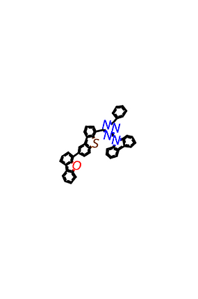 c1ccc(-c2nc(-c3cccc4c3sc3ccc(-c5cccc6c5oc5ccccc56)cc34)nc(-n3c4ccccc4c4ccccc43)n2)cc1